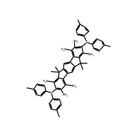 Bc1c(B)c(N(c2ccc(C)cc2)c2ccc(C)cc2)c(B)c2c1-c1cc3c(cc1C2(C)C)-c1c(B)c(B)c(N(c2ccc(C)cc2)c2ccc(C)cc2)c(B)c1C3(C)C